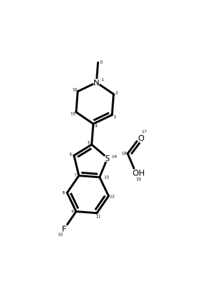 CN1CC=C(c2cc3cc(F)ccc3s2)CC1.O=CO